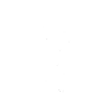 NC(=O)CCCc1ccc(S(=O)(=O)C(F)(F)F)cc1